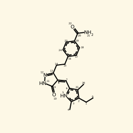 CCc1c(C)[nH]c(C=C2C(=O)NN=C2CCc2ccc(C(N)=O)cc2)c1C